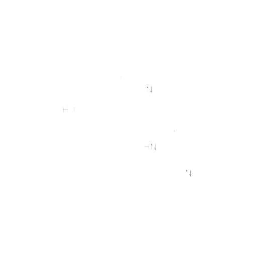 Cc1cccc(Oc2ccc(C(=O)Nc3cccnc3)cn2)c1